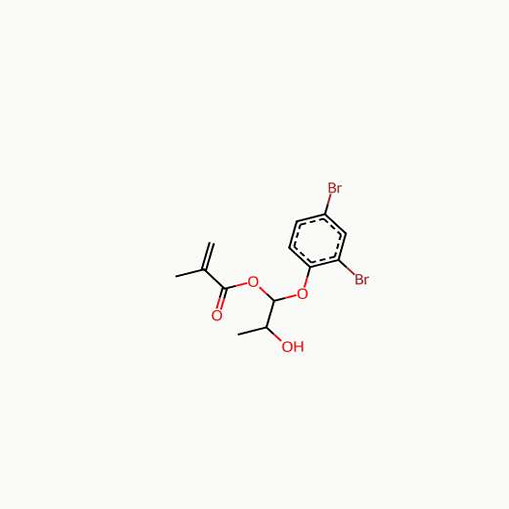 C=C(C)C(=O)OC(Oc1ccc(Br)cc1Br)C(C)O